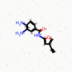 C#Cc1coc(NC(=O)c2ccc(N)c(N)c2)c1